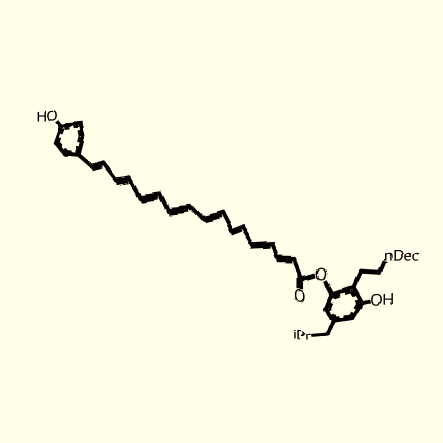 CCCCCCCCCCCCc1c(O)cc(CC(C)C)cc1OC(=O)/C=C/C=C/C=C/C=C/C=C/C=C/C=C/C=C/c1ccc(O)cc1